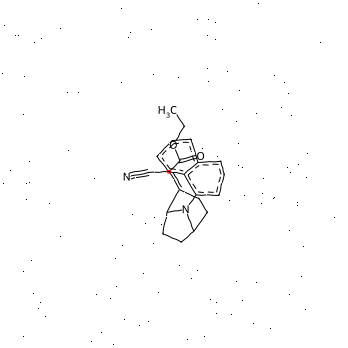 CCOC(=O)C(C#N)=C1CCC2CCC1N2c1cccc2ccccc12